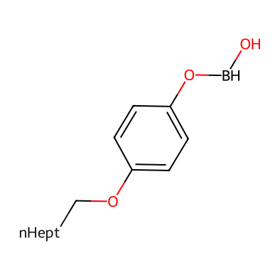 CCCCCCCCOc1ccc(OBO)cc1